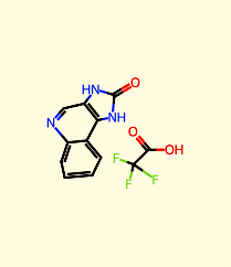 O=C(O)C(F)(F)F.O=c1[nH]c2cnc3ccccc3c2[nH]1